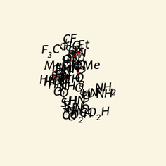 CC[C@@]1(O)C[C@@H]2CN(CCc3c([nH]c4ccccc34)[C@](C(=O)OC)(c3cc4c(cc3OC)N(C)[C@H]3C45CCN4CC=C[C@@](CC)([C@@H]45)[C@H](O)[C@@]3(O)C(=O)NNC(=O)OCCSSC[C@H](NC(=O)[C@@H](CC(=O)O)NC(=O)C(CCCNC(=N)N)NC(=O)CCOCCOCCNC(=O)CN3CCC[C@H](OCc4cc(C(F)(F)F)cc(C(F)(F)F)c4)[C@@H]3c3ccccc3)C(=O)O)C2)C1